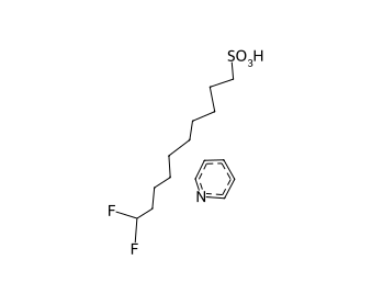 O=S(=O)(O)CCCCCCCCCC(F)F.c1ccncc1